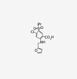 CC(C)S(=O)(=O)c1cc(C(=O)O)c(NCc2ccco2)cc1Cl